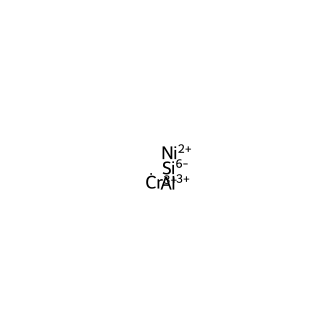 [Al+3].[Cr+3].[Ni+2].[Si-6]